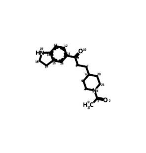 CC(=O)N1CCC(CCC(=O)c2ccc3c(c2)CCN3)CC1